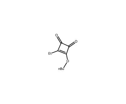 CCCCOc1c(CC)c(=O)c1=O